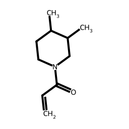 C=CC(=O)N1CCC(C)C(C)C1